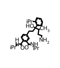 CC(C)NC(=O)c1ccc(CCC(O)(c2ccccc2C(C)C)C(C)CCN)cc1C(=O)NC(C)C